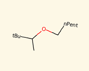 CCCCCCOC(C)C(C)(C)C